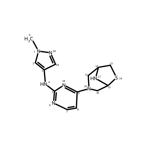 Cn1cc(Nc2nccc(N3CC4CSC(C3)N4)n2)cn1